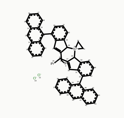 CC(C)CC1=Cc2c(-c3c4ccccc4cc4ccccc34)cccc2[CH]1[Ti+2]1([CH]2C(CC(C)C)=Cc3c(-c4c5ccccc5cc5ccccc45)cccc32)[CH2][CH2]1.[Cl-].[Cl-]